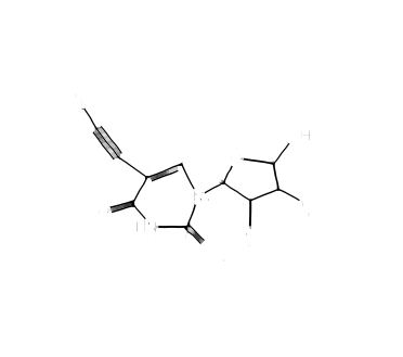 CC1OC(n2cc(C#CI)c(=O)[nH]c2=O)C(C)C1C